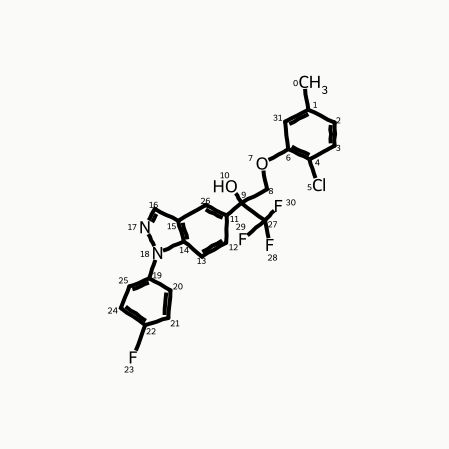 Cc1ccc(Cl)c(OCC(O)(c2ccc3c(cnn3-c3ccc(F)cc3)c2)C(F)(F)F)c1